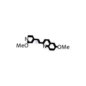 COc1ccc2nc(/C=C/c3ccnc(OC)c3)ccc2c1